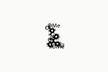 COC(=O)c1cccc(CN2C(=O)/C(=C(/c3ccc(Cl)cc3)c3ccccc3OC)c3ccccc32)c1